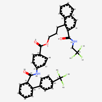 O=C(OCCCc1c(C(=O)NCC(F)(F)F)ccc2ccccc12)c1ccc(NC(=O)c2ccccc2-c2ccc(C(F)(F)F)cc2)cc1